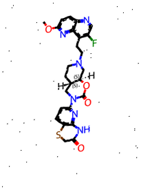 COc1ccc2ncc(F)c(CCN3CC[C@H]4CN(c5ccc6c(n5)NC(=O)CS6)C(=O)O[C@@H]4C3)c2n1